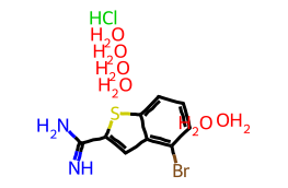 Cl.N=C(N)c1cc2c(Br)cccc2s1.O.O.O.O.O.O